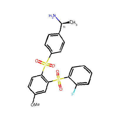 COc1ccc(S(=O)(=O)c2ccc([C@H](C)N)cc2)c(S(=O)(=O)c2ccccc2F)c1